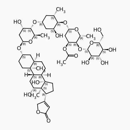 CC(=O)O[C@H]1C[C@H](O[C@@H]2[C@@H](C)C[C@@H](O[C@H]3[C@@H](O)C[C@H](O[C@H]4CC[C@@]5(C)[C@H](CC[C@@H]6[C@@H]5C[C@@H](O)[C@]5(C)[C@@H](C7=CC(=O)OC7)CC[C@]65O)C4)O[C@@H]3C)C[C@@H]2O)O[C@H](C)[C@H]1O[C@@H]1O[C@H](CO)[C@@H](O)[C@H](O)[C@H]1O